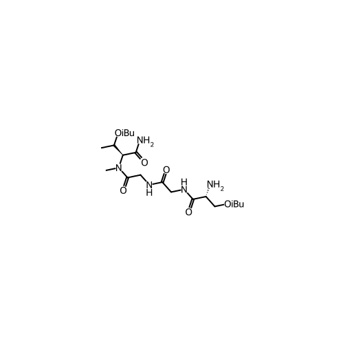 CC(C)COC[C@@H](N)C(=O)NCC(=O)NCC(=O)N(C)[C@H](C(N)=O)C(C)OCC(C)C